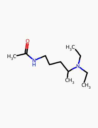 CCN(CC)C(C)CCCNC(C)=O